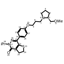 COC[C@@H]1CCCN1CCCOc1ccc(-c2nn(C(C)C)c(=O)c3c2SCC3)cc1